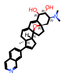 CN(C)[C@H]1C[C@@]23CCC4(O2)C(=CC[C@]2(C)C(c5ccc6ccncc6c5)=CC[C@@H]42)C=C3[C@@H](O)[C@@H]1O